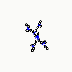 c1cc(-c2nc(-n3c4ccc(-c5ccc6c(c5)c5ccccc5n6-c5ccc6ccccc6c5)cc4c4cc(-c5ccc6c(c5)c5ccccc5n6-c5ccc6ccccc6c5)ccc43)nc3ccccc23)cc(-n2c3ccc(-c4ccc5c(c4)c4ccccc4n5-c4ccc5ccccc5c4)cc3c3cc(-c4ccc5c(c4)c4ccccc4n5-c4ccc5ccccc5c4)ccc32)c1